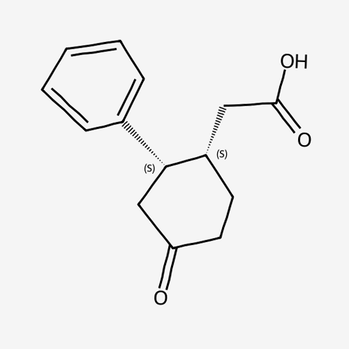 O=C(O)C[C@@H]1CCC(=O)C[C@@H]1c1ccccc1